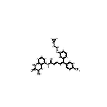 O=C(/C=C/C=C(/c1ccc(C(F)(F)F)cc1)c1cccc(OCCC2CC2)c1)Nc1cccc2c1CC(O)C(=O)N2